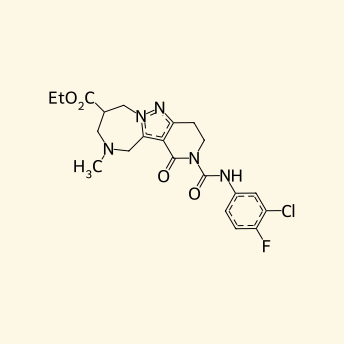 CCOC(=O)C1CN(C)Cc2c3c(nn2C1)CCN(C(=O)Nc1ccc(F)c(Cl)c1)C3=O